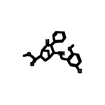 COC(=O)C1CC2CC1NC(c1ccccc1)C2NCc1cc(Cl)ccc1OC